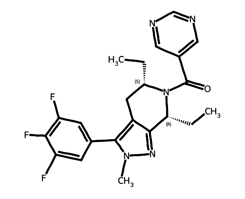 CC[C@H]1Cc2c(nn(C)c2-c2cc(F)c(F)c(F)c2)[C@@H](CC)N1C(=O)c1cncnc1